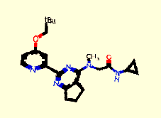 CN(CC(=O)NC1CC1)c1nc(-c2cc(OCC(C)(C)C)ccn2)nc2c1CCC2